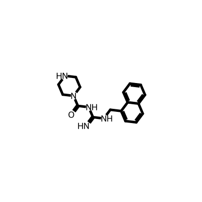 N=C(NCc1cccc2ccccc12)NC(=O)N1CCNCC1